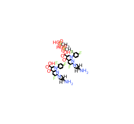 CS(=O)(=O)O.CS(=O)(=O)O.N[C@@H]1[C@H]2CN(c3nc4c(cc3F)c(=O)c(C(=O)O)cn4-c3ccc(F)cc3F)C[C@@H]12.N[C@@H]1[C@H]2CN(c3nc4c(cc3F)c(=O)c(C(=O)O)cn4-c3ccc(F)cc3F)C[C@@H]12